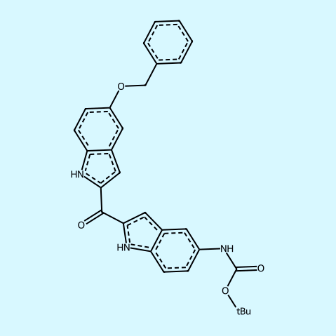 CC(C)(C)OC(=O)Nc1ccc2[nH]c(C(=O)c3cc4cc(OCc5ccccc5)ccc4[nH]3)cc2c1